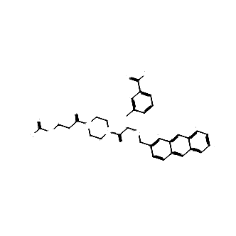 N=C(N)NCCC(=O)N1CCN(C(=O)[C@H](Cc2cccc(C(=N)N)c2)NCc2ccc3cc4ccccc4cc3c2)CC1